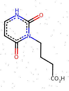 O=C(O)CCCn1c(=O)cc[nH]c1=O